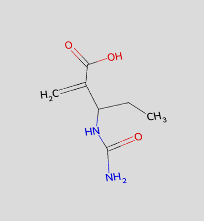 C=C(C(=O)O)C(CC)NC(N)=O